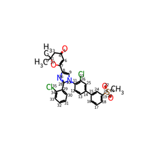 CC1(C)CC(=O)C=C(c2cn(-c3ccc(-c4cccc(S(C)(=O)=O)c4)cc3Cl)c(-c3ccccc3Cl)n2)O1